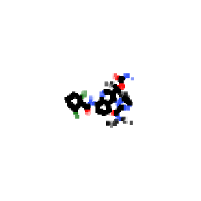 CN(C)C(=O)c1nccn1-c1c(C(C)(C)OC(N)=O)cnc2c(NC(=O)c3c(Cl)cccc3Cl)cccc12